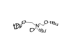 CC(C)(C)OCCN(CCOC(C)(C)C)C(=O)C(C)(C)C